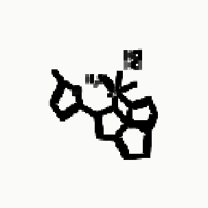 Cc1ccc(C2=Cc3ccccc3[CH]2[Zr]([CH3])([CH3])(=[SiH2])[C]2=CC=CC2)o1.Cl.Cl